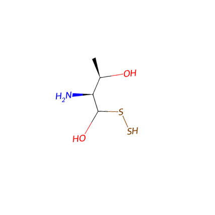 C[C@@H](O)[C@H](N)C(O)SS